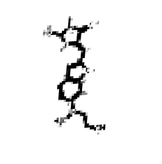 CN(CCO)c1ccc2cc(/C=C3\SC(S)NC3=O)sc2c1